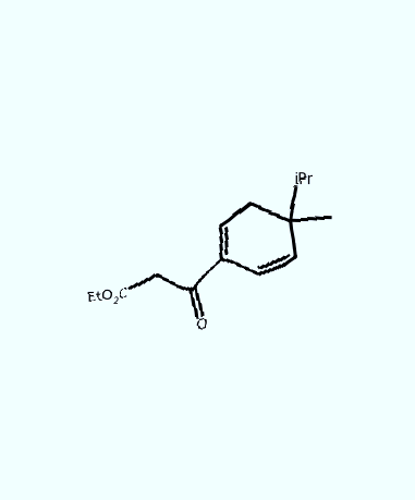 CCOC(=O)CC(=O)C1=CCC(C)(C(C)C)C=C1